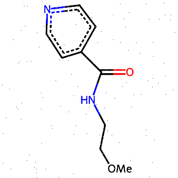 COCCNC(=O)c1ccncc1